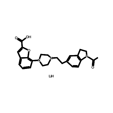 CC(=O)N1CCc2cc(CCN3CCN(c4cccc5cc(C(=O)O)oc45)CC3)ccc21.[LiH]